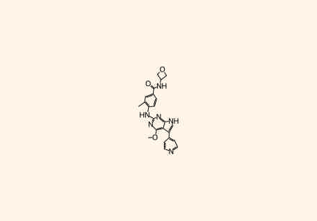 COc1nc(Nc2ccc(C(=O)NC3COC3)cc2C)nc2[nH]cc(-c3ccncc3)c12